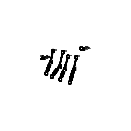 [Cu+2].[O]=[Al][O-].[O]=[Al][O-].[O]=[Al][O-].[O]=[Al][O-].[Zn+2]